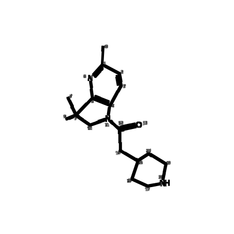 Cc1ccc2c(n1)C(C)(C)CN2C(=O)CC1CCNCC1